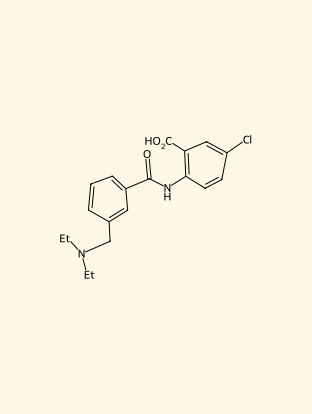 CCN(CC)Cc1cccc(C(=O)Nc2ccc(Cl)cc2C(=O)O)c1